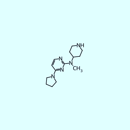 CN(c1nccc(N2CCCC2)n1)C1CCNCC1